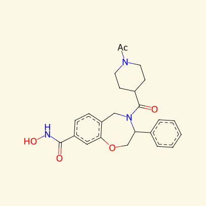 CC(=O)N1CCC(C(=O)N2Cc3ccc(C(=O)NO)cc3OCC2c2ccccc2)CC1